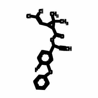 C#CC(OC(=O)C1C(C=C(Cl)Cl)C1(C)C)c1ccc(F)c(Oc2ccccc2)c1